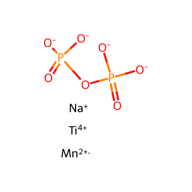 O=P([O-])([O-])OP(=O)([O-])[O-].[Mn+2].[Na+].[Ti+4]